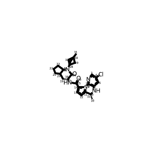 Cc1ncc(Cl)cc1N[C@@H](C)c1ccc(C(=O)N[C@@H](CC2CCCC2)C(=O)NC23CC(C)(C2)C3)s1